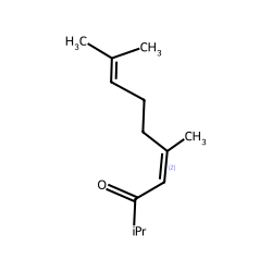 CC(C)=CCC/C(C)=C\C(=O)C(C)C